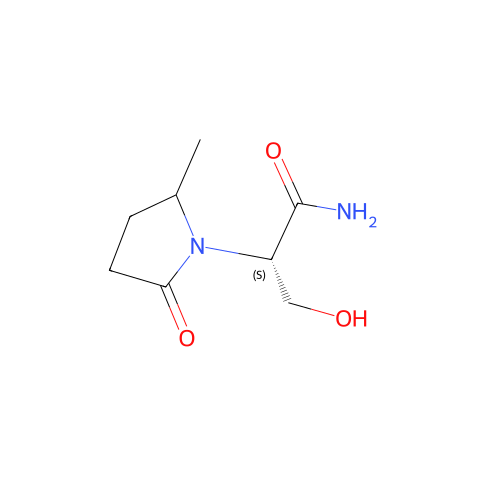 CC1CCC(=O)N1[C@@H](CO)C(N)=O